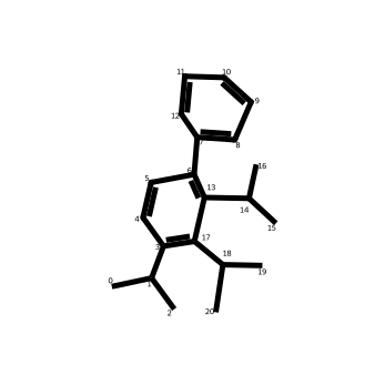 CC(C)c1ccc(-c2ccccc2)c(C(C)C)c1C(C)C